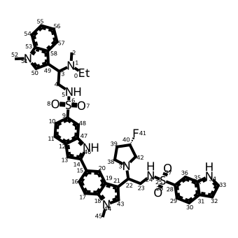 CCN(C)C(CNS(=O)(=O)c1ccc2cc(-c3ccc4c(c3)c(C(CNS(=O)(=O)c3ccc5cc[nH]c5c3)N3CC[C@H](F)C3)cn4C)[nH]c2c1)c1cn(C)c2ccccc12